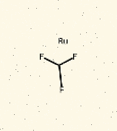 FC(F)F.[Ru]